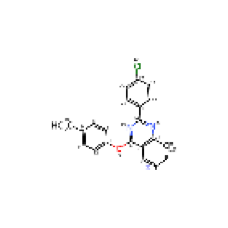 C/C=C\c1c(Oc2ccc(C(=O)O)cc2)nc(-c2ccc(Cl)cc2)nc1C(F)(F)F